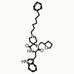 O=C1C(Cc2c[nH]c3ccccc23)NC(=O)C2(CCN(CCCCCCc3ccccc3)CC2)N1CC1CCCO1